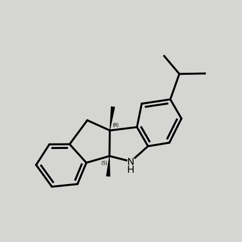 CC(C)c1ccc2c(c1)[C@@]1(C)Cc3ccccc3[C@@]1(C)N2